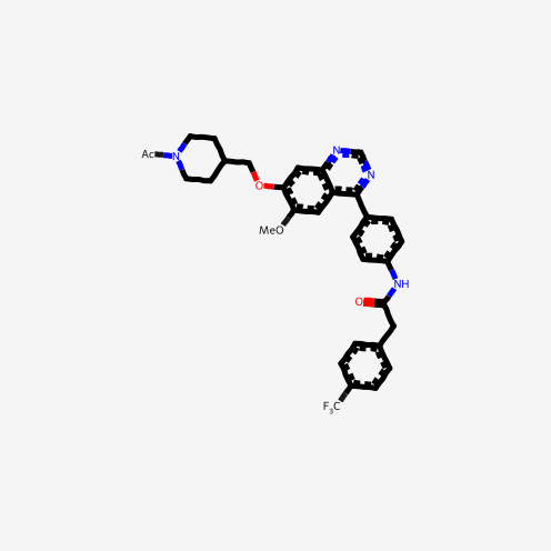 COc1cc2c(-c3ccc(NC(=O)Cc4ccc(C(F)(F)F)cc4)cc3)ncnc2cc1OCC1CCN(C(C)=O)CC1